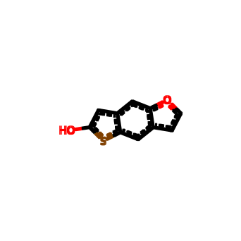 Oc1cc2cc3occc3cc2s1